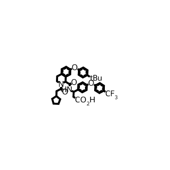 CC(C)(C)c1ccc(Oc2ccc3c(c2)C(C(=O)NC(CC(=O)O)c2ccc(Oc4ccc(C(F)(F)F)cc4)cc2)N(C(=O)CC2CCCC2)CC3)cc1